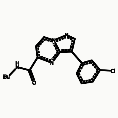 CCC(C)NC(=O)c1ccn2ncc(-c3cccc(Cl)c3)c2n1